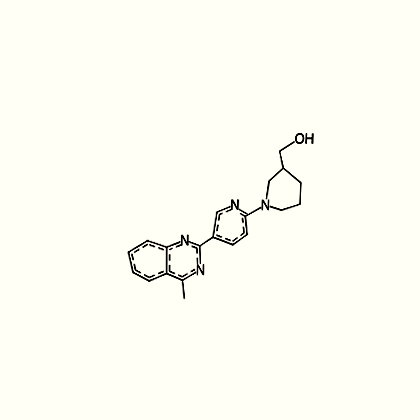 Cc1nc(-c2ccc(N3CCCC(CO)C3)nc2)nc2ccccc12